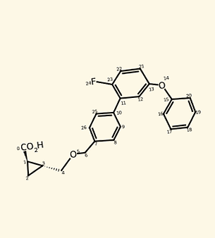 O=C(O)[C@@H]1C[C@H]1COCc1ccc(-c2cc(Oc3ccccc3)ccc2F)cc1